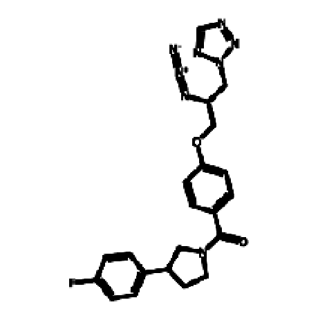 [N-]=[N+]=NC(COc1ccc(C(=O)N2CCC(c3ccc(F)cc3)C2)cc1)Cn1ncnn1